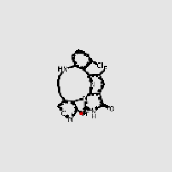 CC(C)c1nccc2c1-n1c(=O)[nH]c(=O)c3cc(F)c(nc31)-c1c(Cl)cccc1NCCC2